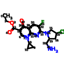 CCOC(=O)c1cn(C2CC2)c2nc(N3CC(Cl)CC3CN)c(F)cc2c1=O